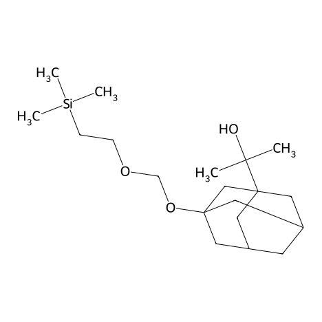 CC(C)(O)C12CC3CC(CC(OCOCC[Si](C)(C)C)(C3)C1)C2